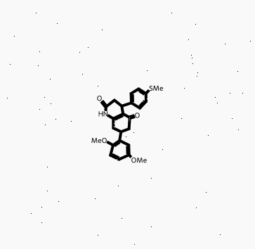 COc1ccc(OC)c(C2CC(=O)C3=C(C2)NC(=O)CC3c2ccc(SC)cc2)c1